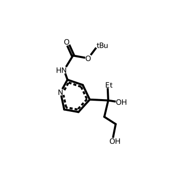 CCC(O)(CCO)c1ccnc(NC(=O)OC(C)(C)C)c1